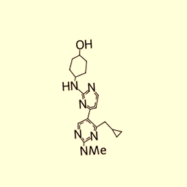 CNc1ncc(-c2ccnc(NC3CCC(O)CC3)n2)c(CC2CC2)n1